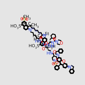 CC[N+]1=C(/C=C/C=C/C=C2\N(CCCCCC(=O)NCCNC(=O)[C@H](CCNC(=O)C3CCN(S(=O)(=O)c4ccccc4-c4c5cc/c(=[N+]6/CCc7ccccc76)cc-5oc5cc(N6CCc7ccccc76)ccc45)CC3)NC(=O)[C@H](CC3CCCCC3)NC(=O)N3CCOCC3)c3ccc4c(S(=O)(=O)O)cc(S(C)(=O)=O)cc4c3C2(C)C)C(C)(C)c2c1ccc1c(S(=O)(=O)O)cc(S(=O)(=O)O)cc21